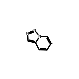 [c]1ccc2cnnn2c1